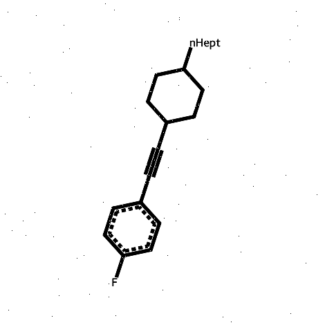 CCCCCCCC1CCC(C#Cc2ccc(F)cc2)CC1